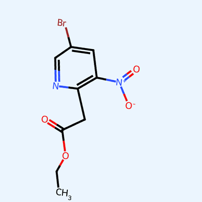 CCOC(=O)Cc1ncc(Br)cc1[N+](=O)[O-]